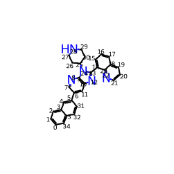 c1ccc2cc(-c3cnc4c(c3)nc(-c3cccc5cccnc35)n4C3CCNCC3)ccc2c1